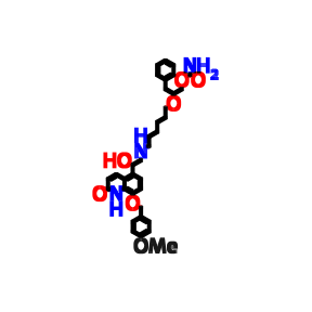 COc1ccc(COc2ccc(C(O)CNCCCCCCOC(COC(N)=O)Cc3ccccc3)c3ccc(=O)[nH]c23)cc1